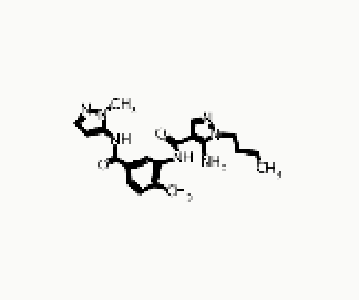 CCCCn1ncc(C(=O)Nc2cc(C(=O)Nc3ccnn3C)ccc2C)c1N